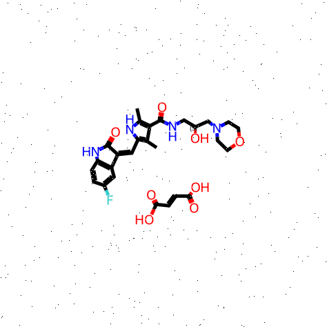 Cc1[nH]c(C=C2C(=O)Nc3ccc(F)cc32)c(C)c1C(=O)NC[C@H](O)CN1CCOCC1.O=C(O)C=CC(=O)O